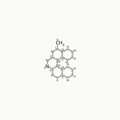 Cc1cc2cnc3ccc4ccccc4c3c2c2ccccc12